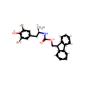 O=C(N[C@@H](Cc1cc(Br)c(O)c(Br)c1)C(=O)O)OCC1c2ccccc2-c2ccccc21